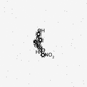 O=C(Nc1cccc([N+](=O)[O-])c1)N1CCN(S(=O)(=O)c2sccc2-c2ccccc2Oc2ccc(O)cc2)CC1